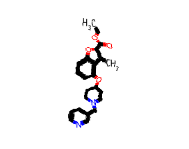 CCOC(=O)c1oc2cccc(OC3CCN(Cc4cccnc4)CC3)c2c1C